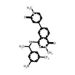 CC(Nc1nn(C)c(=O)c2ccc(-c3ccn(C)c(=O)c3)cc12)c1cc(N)cc(C(F)(F)F)c1